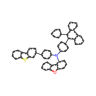 c1ccc(-c2c(-c3ccc(N(c4ccc(-c5ccc6c(c5)sc5ccccc56)cc4)c4cccc5oc6ccccc6c45)cc3)c3ccccc3c3ccccc23)cc1